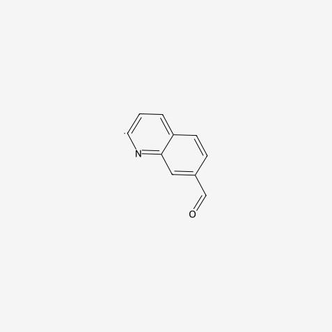 O=Cc1ccc2cc[c]nc2c1